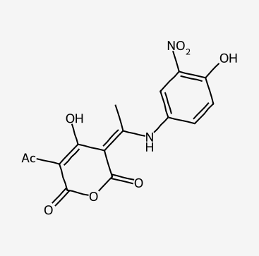 CC(=O)C1=C(O)/C(=C(\C)Nc2ccc(O)c([N+](=O)[O-])c2)C(=O)OC1=O